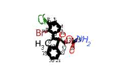 C[C@H]1c2c(ccc(Cl)c2Br)O[C@]1(COC(N)=O)c1ccccc1